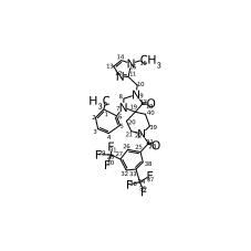 Cc1ccccc1N1CN(Cc2nccn2C)C(=O)C12CCN(C(=O)c1cc(C(F)(F)F)cc(C(F)(F)F)c1)CC2